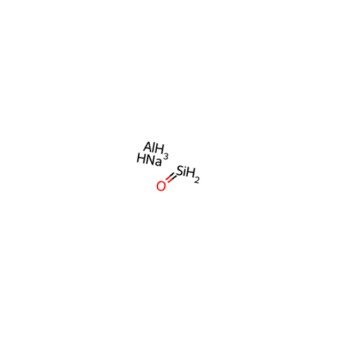 O=[SiH2].[AlH3].[NaH]